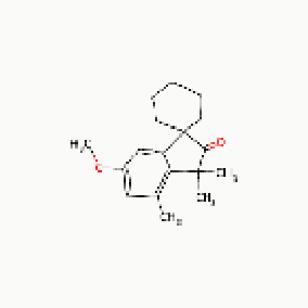 COc1cc(C)c2c(c1)C1(CCCCC1)C(=O)C2(C)C